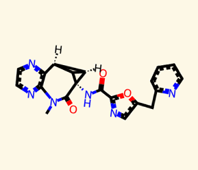 CN1C(=O)[C@@]2(NC(=O)c3ncc(Cc4ccccn4)o3)C3[C@@H](c4nccnc41)[C@H]32